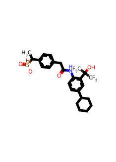 CC(c1ccc(CC(=O)Nc2ccc(C3CCCCC3)cc2C(O)(C(F)(F)F)C(F)(F)F)cc1)[SH](=O)=O